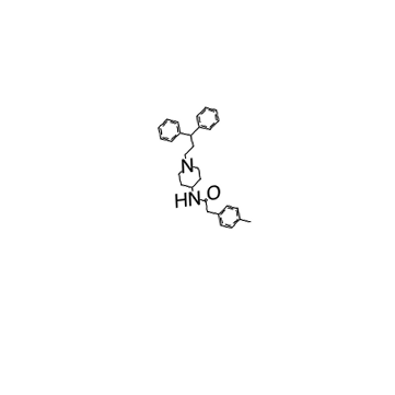 Cc1ccc(CC(=O)NC2CCN(CCC(c3ccccc3)c3ccccc3)CC2)cc1